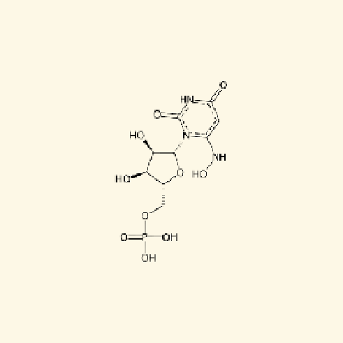 O=c1cc(NO)n([C@@H]2O[C@H](COP(=O)(O)O)[C@@H](O)[C@H]2O)c(=O)[nH]1